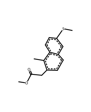 COC(=O)Cc1ccc2cc(SC)ccc2c1C